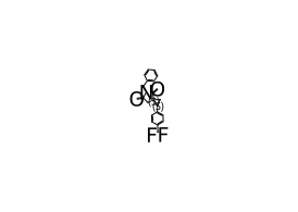 O=C1C[C@]2(C[C@H]2c2ccc(C(F)F)cc2)C(=O)N1Cc1ccccc1